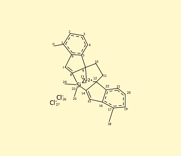 Cc1cccc2c1C=C1[C]23CC[C]2([Zr+2]3)C(=Cc3c(C)cccc32)[Si]1(C)C.[Cl-].[Cl-]